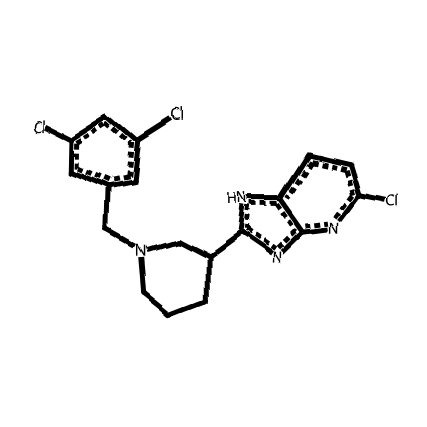 Clc1cc(Cl)cc(CN2CCCC(c3nc4nc(Cl)ccc4[nH]3)C2)c1